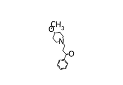 COC1CCN(CCC(=O)c2ccccc2)CC1